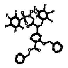 CN(CC(=O)N(Cc1c(F)c(F)c(F)c(F)c1F)c1ccc(C(=O)OCc2ccccc2)c(OCc2ccccc2)c1)S(=O)(=O)c1c(F)c(F)c(F)c(F)c1F